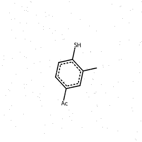 CC(=O)c1ccc(S)c(C)c1